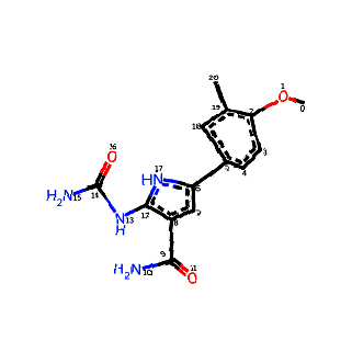 COc1ccc(-c2cc(C(N)=O)c(NC(N)=O)[nH]2)cc1C